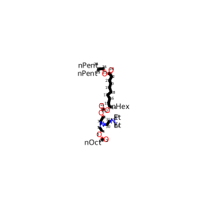 CCCCCCCCC(=O)OCCN(CCOC(=O)OC(CCCCCC)CCCCCCCCC(=O)OCC(CCCCC)CCCCC)CCN(CC)CC